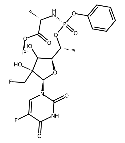 CC(C)OC(=O)[C@H](C)N[P@@](=O)(Oc1ccccc1)O[C@H](C)[C@H]1O[C@@H](n2cc(F)c(=O)[nH]c2=O)[C@@](O)(CF)C1O